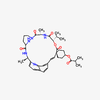 CC(C)C(=O)O[C@H]1CC[C@]2(/C=C/c3ccc4ccc(nc4c3)[C@@H](C)NC(=O)C3CCCN(N3)C(=O)[C@H](C)NC(=O)[C@H](C(C)C)OC2=O)CC1